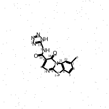 Cc1ccc2sc3ncc(C(=O)Nc4nnn[nH]4)c(=O)n3c2c1